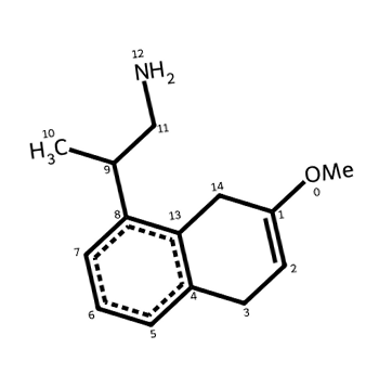 COC1=CCc2cccc(C(C)CN)c2C1